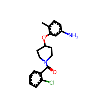 Cc1ccc(N)cc1OC1CCN(C(=O)c2ccccc2Cl)CC1